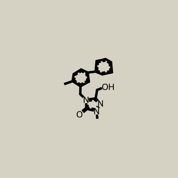 Cc1ccc(-c2ccccc2)cc1Cn1c(CO)nn(C)c1=O